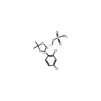 CC1(C)O[C@H](c2ccc(Cl)cc2Cl)[C@@H](COS(N)(=O)=O)O1